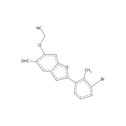 Cc1c(Br)cccc1-c1cc2cc(C=O)c(OCC#N)cc2o1